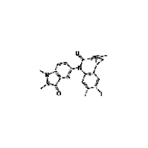 CC#CC(=O)N(c1ccc2c(n1)c(=O)n(C)n2C)c1cc(C)c(I)cc1C1CC1